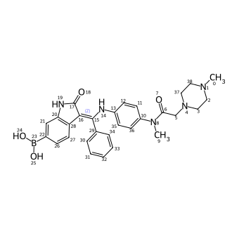 CN1CCN(CC(=O)N(C)c2ccc(N/C(=C3\C(=O)Nc4cc(B(O)O)ccc43)c3ccccc3)cc2)CC1